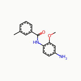 COc1cc(N)ccc1NC(=O)c1cccc(C)c1